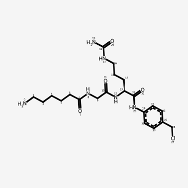 NCCCCCC(=O)NCC(=O)N[C@@H](CCCNC(N)=O)C(=O)Nc1ccc(CCl)cc1